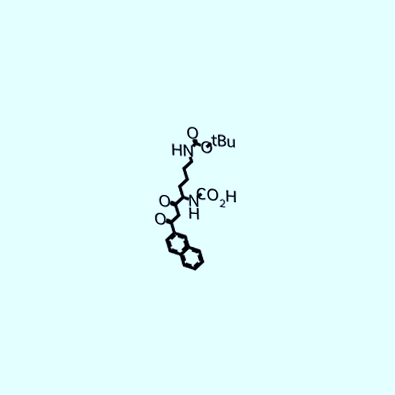 CC(C)(C)OC(=O)NCCCCC(NC(=O)O)C(=O)CC(=O)c1ccc2ccccc2c1